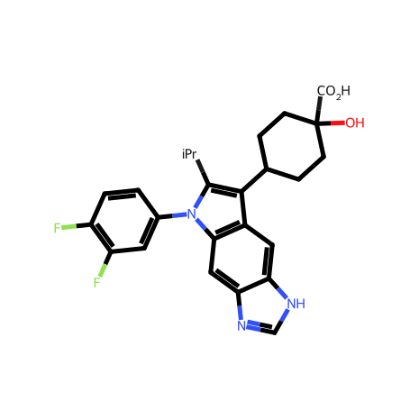 CC(C)c1c(C2CCC(O)(C(=O)O)CC2)c2cc3[nH]cnc3cc2n1-c1ccc(F)c(F)c1